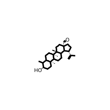 C=C(C)[C@H]1CC[C@]2(C=O)CC[C@]3(C)C(CCC4[C@@]5(C)CC[C@H](O)C(C)C5CC[C@]43C)C12